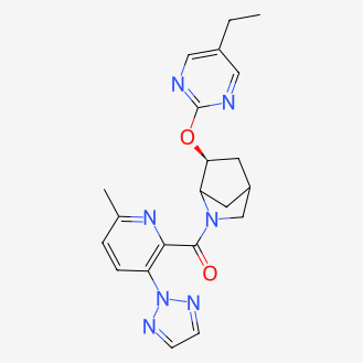 CCc1cnc(O[C@H]2CC3CC2N(C(=O)c2nc(C)ccc2-n2nccn2)C3)nc1